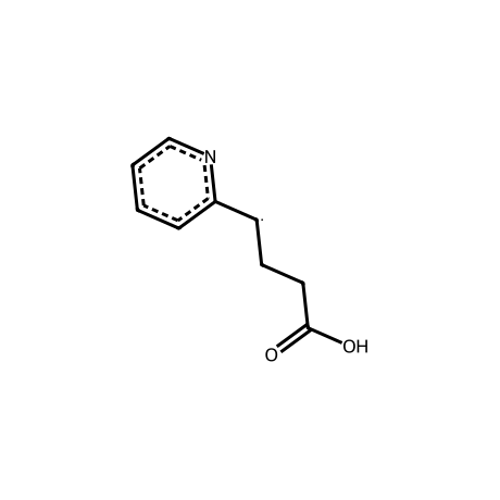 O=C(O)CC[CH]c1ccccn1